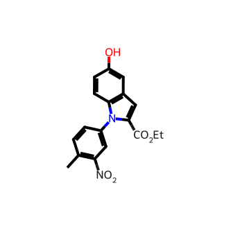 CCOC(=O)c1cc2cc(O)ccc2n1-c1ccc(C)c([N+](=O)[O-])c1